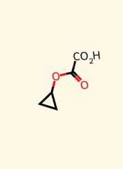 O=C(O)C(=O)OC1CC1